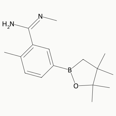 C/N=C(/N)c1cc(B2CC(C)(C)C(C)(C)O2)ccc1C